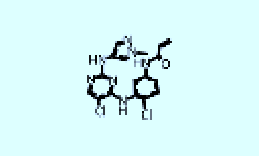 C=CC(=O)Nc1ccc(Cl)c(Nc2nc(Nc3cnn(C)c3)ncc2Cl)c1